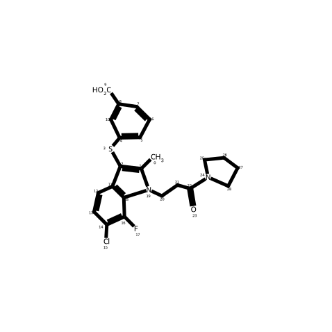 Cc1c(Sc2cccc(C(=O)O)c2)c2ccc(Cl)c(F)c2n1CCC(=O)N1CCCC1